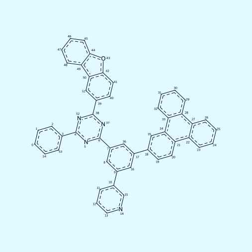 c1ccc(-c2nc(-c3cc(-c4cccnc4)cc(-c4ccc5c6ccccc6c6ccccc6c5c4)c3)nc(-c3ccc4oc5ccccc5c4c3)n2)cc1